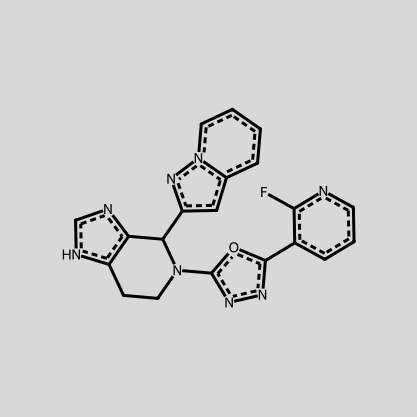 Fc1ncccc1-c1nnc(N2CCc3[nH]cnc3C2c2cc3ccccn3n2)o1